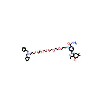 Cc1nn(-c2ccc(C(N)=O)c(NCCCOCCOCCOCCOCCOCCCN(CC3=CCC=C3)CC3CCCC3)c2)c2c1C(=O)CC(C)(C)C2